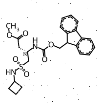 COC(=O)C[C@@H](CS(=O)(=O)NC1CCC1)NC(=O)OCC1c2ccccc2-c2ccccc21